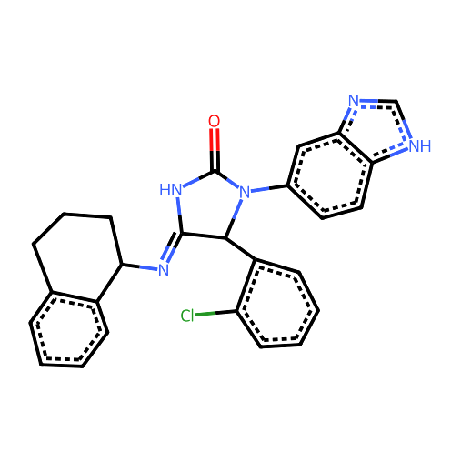 O=C1NC(=NC2CCCc3ccccc32)C(c2ccccc2Cl)N1c1ccc2[nH]cnc2c1